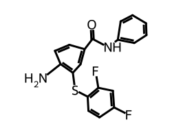 Nc1ccc(C(=O)Nc2ccccc2)cc1Sc1ccc(F)cc1F